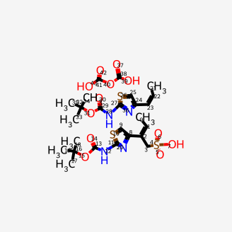 C/C=C(/CS(=O)(=O)O)c1csc(NC(=O)OC(C)(C)C)n1.C/C=C\c1csc(NC(=O)OC(C)(C)C)n1.O=C(O)OC(=O)O